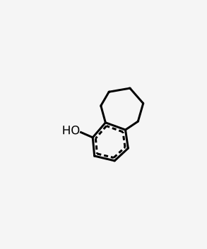 Oc1cccc2c1CCCCC2